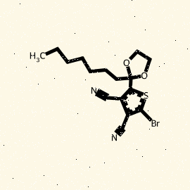 CCCCCCCC1(c2sc(Br)c(C#N)c2C#N)OCCO1